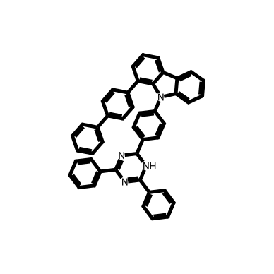 c1ccc(C2=NC(c3ccc(-n4c5ccccc5c5cccc(-c6ccc(-c7ccccc7)cc6)c54)cc3)NC(c3ccccc3)=N2)cc1